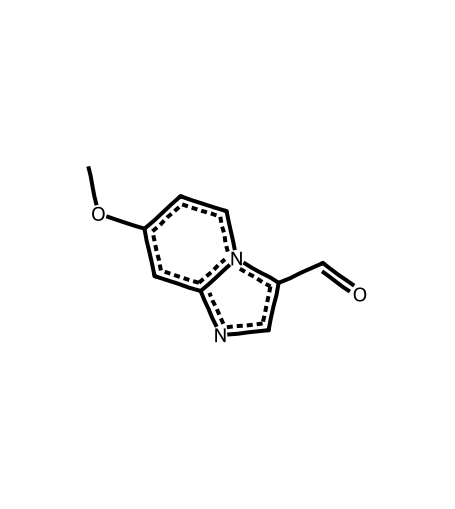 COc1ccn2c(C=O)cnc2c1